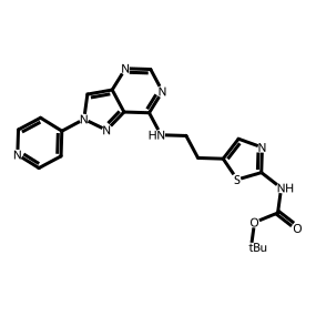 CC(C)(C)OC(=O)Nc1ncc(CCNc2ncnc3cn(-c4ccncc4)nc23)s1